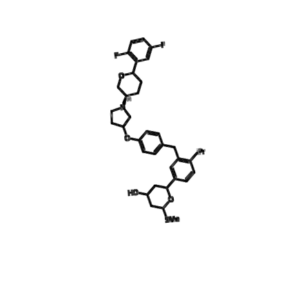 CSC1CC(O)CC(c2ccc(C(C)C)c(Cc3ccc(OC4CCN([C@@H]5CCC(c6cc(F)ccc6F)OC5)C4)cc3)c2)O1